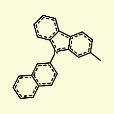 Cc1ccc2c3ccccc3n(-c3ccc4ccccc4c3)c2c1